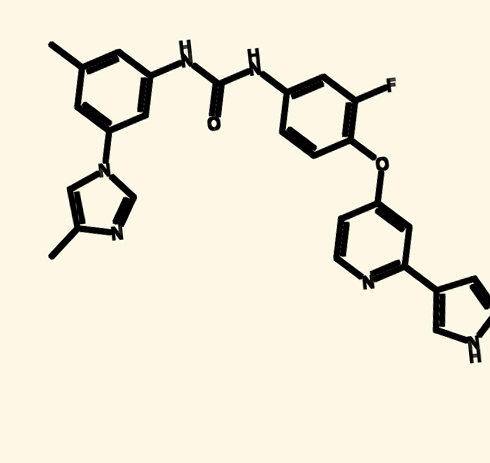 Cc1cc(NC(=O)Nc2ccc(Oc3ccnc(-c4cn[nH]c4)c3)c(F)c2)cc(-n2cnc(C)c2)c1